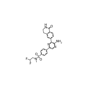 CN(CC(F)F)S(=O)(=O)c1ccc(-c2cnc(N)c(-c3ccc4c(c3)CCNC4=O)n2)cc1